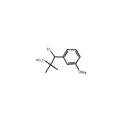 CCC(c1cccc(OC)c1)C(C)(C)C(=O)O